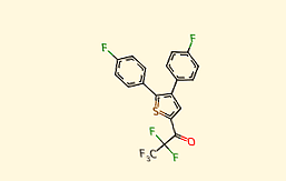 O=C(c1cc(-c2ccc(F)cc2)c(-c2ccc(F)cc2)s1)C(F)(F)C(F)(F)F